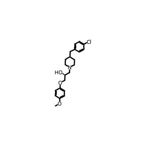 COc1ccc(OC[C@@H](O)CN2CCC(Cc3ccc(Cl)cc3)CC2)cc1